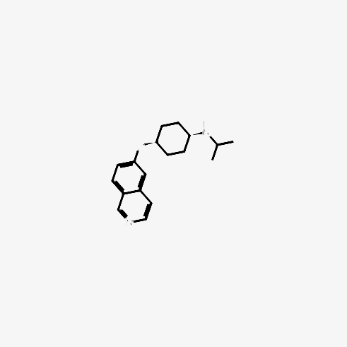 CC(C)N[C@H]1CC[C@@H](Oc2ccc3cnccc3c2)CC1